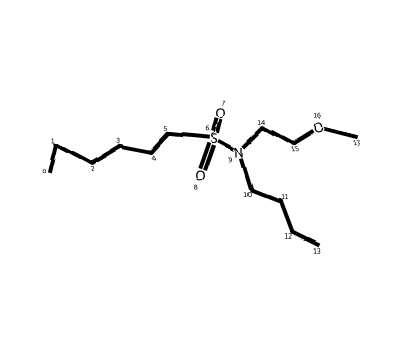 CCCCCCS(=O)(=O)N(CCCC)CCOC